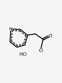 Cl.O=C(Cl)Cc1cccnc1